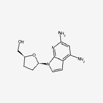 Nc1cc(N)c2ccn([C@H]3CC[C@@H](CO)O3)c2n1